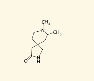 CC1CC2(CCN1C)CNC(=O)C2